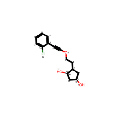 O[C@@H]1CC(CCOC#Cc2ccccc2Cl)[C@H](O)C1